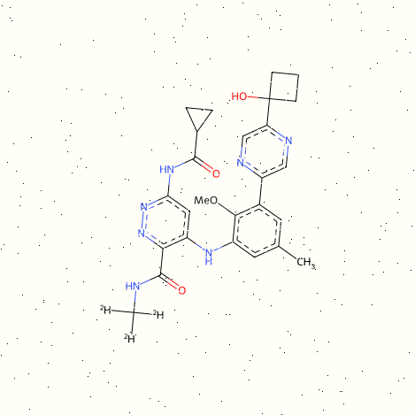 [2H]C([2H])([2H])NC(=O)c1nnc(NC(=O)C2CC2)cc1Nc1cc(C)cc(-c2cnc(C3(O)CCC3)cn2)c1OC